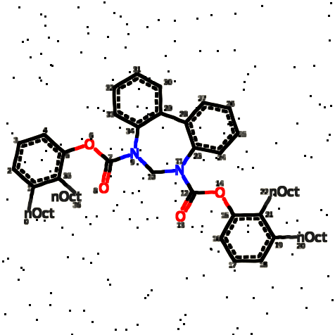 CCCCCCCCc1cccc(OC(=O)N2CN(C(=O)Oc3cccc(CCCCCCCC)c3CCCCCCCC)c3ccccc3-c3ccccc32)c1CCCCCCCC